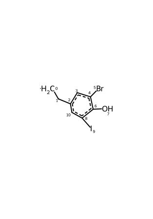 [CH2]Cc1cc(Br)c(O)c(I)c1